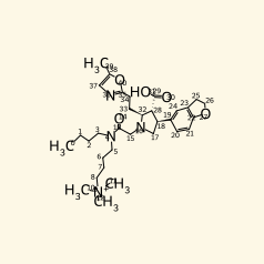 CCCCN(CCCC[N+](C)(C)C)C(=O)CN1C[C@H](c2ccc3c(c2)CCO3)[C@@H](C(=O)O)[C@@H]1CCc1ncc(C)o1